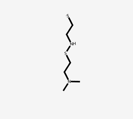 CN(C)CCSNCC[S]